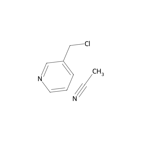 CC#N.ClCc1cccnc1